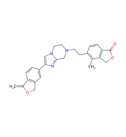 C=C1OCc2cc(-c3cn4c(n3)CN(CCc3ccc5c(c3C)COC5=O)CC4)ccc21